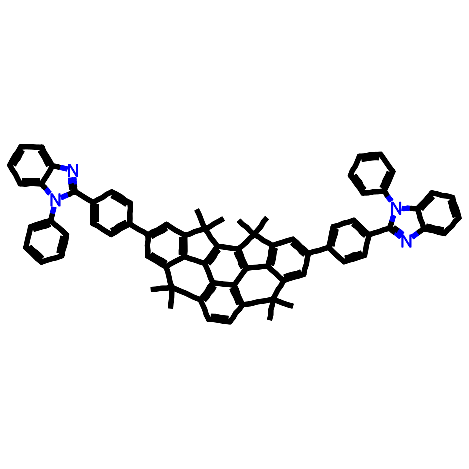 CC1(C)c2cc(-c3ccc(-c4nc5ccccc5n4-c4ccccc4)cc3)cc3c2-c2c1c1c4c5c(ccc(c25)C3(C)C)C(C)(C)c2cc(-c3ccc(-c5nc6ccccc6n5-c5ccccc5)cc3)cc(c2-4)C1(C)C